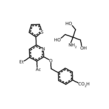 CCc1cc(-c2cccs2)nc(OCc2ccc(C(=O)O)cc2)c1C(C)=O.NC(CO)(CO)CO